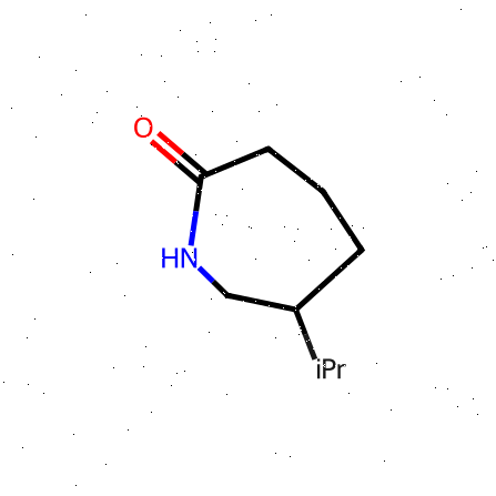 CC(C)C1CCCC(=O)NC1